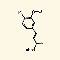 CCCCCCCCCC(C)C=Cc1ccc(O)c(OCC)c1